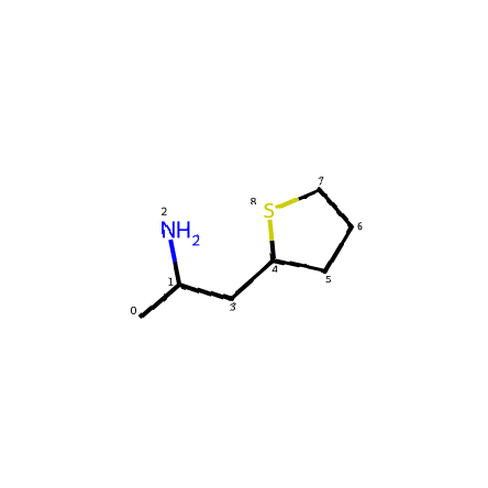 CC(N)CC1CCCS1